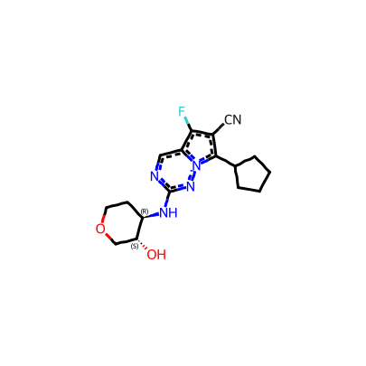 N#Cc1c(F)c2cnc(N[C@@H]3CCOC[C@H]3O)nn2c1C1CCCC1